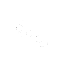 CC(C)c1ccc(NC(=O)c2ccc(-c3ncccc3C(F)(F)F)c(Cl)c2)cc1